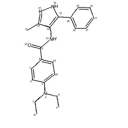 CCN(CC)c1ccc(C(=O)Nc2c(C)n[nH]c2-c2ccccc2)cc1